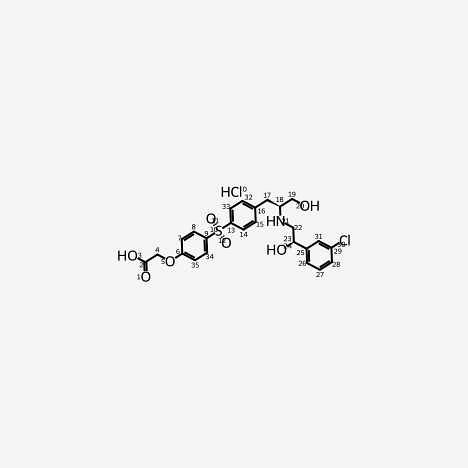 Cl.O=C(O)COc1ccc(S(=O)(=O)c2ccc(C[C@@H](CO)NC[C@H](O)c3cccc(Cl)c3)cc2)cc1